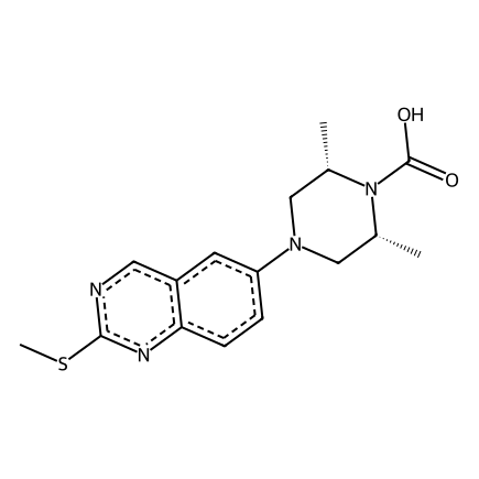 CSc1ncc2cc(N3C[C@@H](C)N(C(=O)O)[C@@H](C)C3)ccc2n1